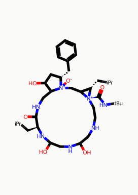 CC(C)C[C@@H]1NC(O)CNC(O)CNCC[N@+]2(C(=O)NC(C)(C)C)C(C[N+]3([O-])C(CNC1[O-])C(O)C[C@@H]3Cc1ccccc1)[C@@H]2CC(C)C